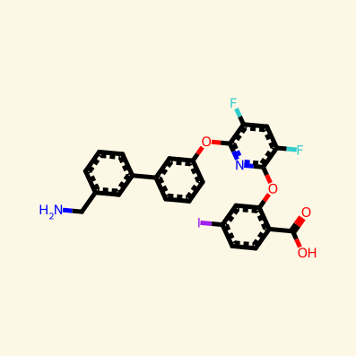 NCc1cccc(-c2cccc(Oc3nc(Oc4cc(I)ccc4C(=O)O)c(F)cc3F)c2)c1